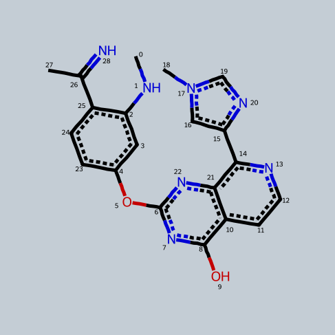 CNc1cc(Oc2nc(O)c3ccnc(-c4cn(C)cn4)c3n2)ccc1C(C)=N